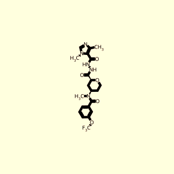 Cc1ncn(C)c1C(=O)NNC(=O)[C@@H]1C[C@H](N(C)C(=O)c2cccc(OC(F)(F)F)c2)CCO1